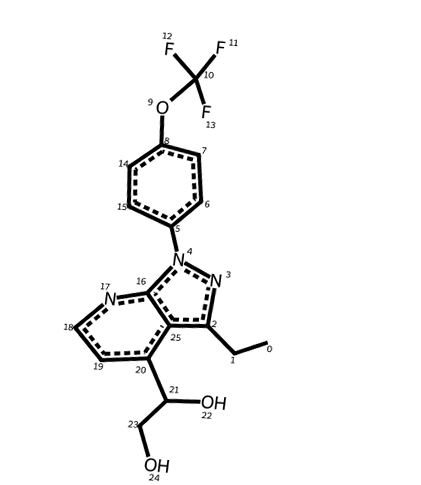 CCc1nn(-c2ccc(OC(F)(F)F)cc2)c2nccc(C(O)CO)c12